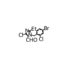 CCc1nc(Cl)c(C=O)n1Cc1ccc(Br)cc1Cl